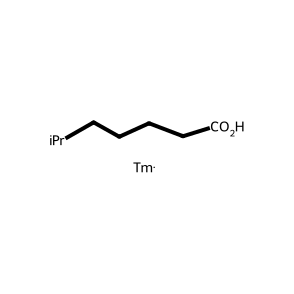 CC(C)CCCCC(=O)O.[Tm]